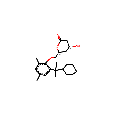 Cc1cc(C)c(OC[C@@H]2C[C@@H](O)CC(=O)O2)c(C(C)(C)C2CCCCC2)c1